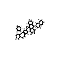 C1=CC2=CC=C(c3c4ccccc4c(Sc4ccc5c(c4)N(c4ccccc4)C4=C(CCC=C4)CC5)c4ccncc34)CC2C=C1